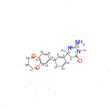 CN1C(=O)CC(C)(C2=CC(c3ccc4c(c3)OCCCO4)CC=C2)N=C1N